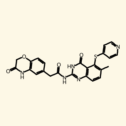 Cc1ccc2nc(NC(=O)Cc3ccc4c(c3)NC(=O)CO4)[nH]c(=O)c2c1Sc1ccncc1